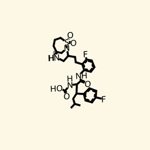 CC(C)CC(c1ccc(F)cc1)C(NC(=O)O)C(=O)Nc1cccc(F)c1CCC1CN[C@@H]2CCCS(=O)(=O)N1C2